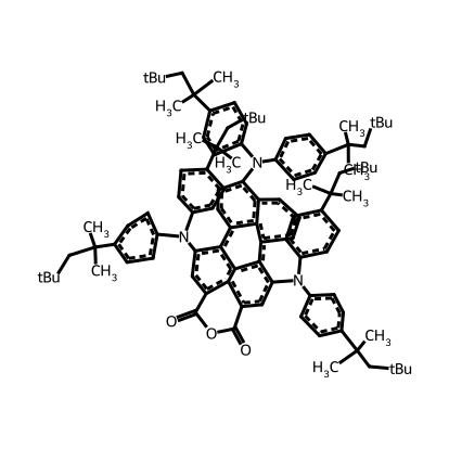 CC(C)(C)CC(C)(C)c1ccc(N(c2ccc(C(C)(C)CC(C)(C)C)cc2)c2ccc3c4c(N(c5ccc(C(C)(C)CC(C)(C)C)cc5)c5ccc(C(C)(C)CC(C)(C)C)cc5)cc5c6c(cc(N(c7ccc(C(C)(C)CC(C)(C)C)cc7)c7ccc(C(C)(C)CC(C)(C)C)cc7)c(c7cccc2c73)c64)C(=O)OC5=O)cc1